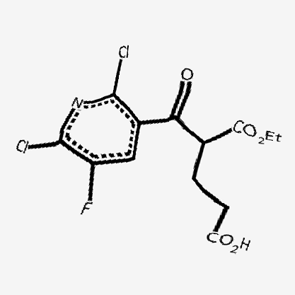 CCOC(=O)C(CCC(=O)O)C(=O)c1cc(F)c(Cl)nc1Cl